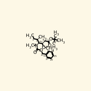 CC[C@H](C)[C@@H]([C@@H](CC(=O)OC(C)(C)C)OC)N(C)C(=O)OCc1ccccc1